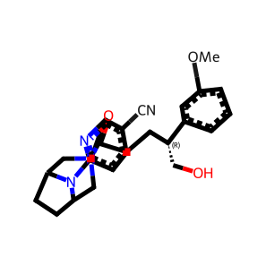 COc1cccc([C@H](CO)CCC(=O)N2CC3CCC(C2)N3c2ccc(C#N)cn2)c1